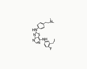 CN(C)CCc1ccc(Nc2nc3ncnc(Nc4ccc(F)c(CI)c4)c3s2)cc1